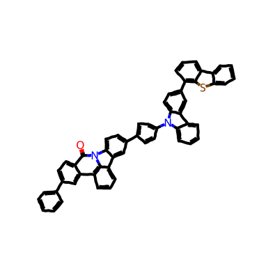 O=c1c2ccc(-c3ccccc3)cc2c2cccc3c4cc(-c5ccc(-n6c7ccccc7c7cc(-c8cccc9c8sc8ccccc89)ccc76)cc5)ccc4n1c23